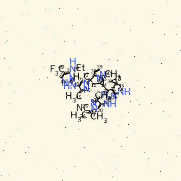 CCNc1nc(Nc2cn(C(C)(CC3CC3c3nc(Nc4cn(C(C)(C)C#N)nc4C)nc4c3C3(CC3)CN4)c3ccn(C)n3)nc2C)ncc1C(F)(F)F